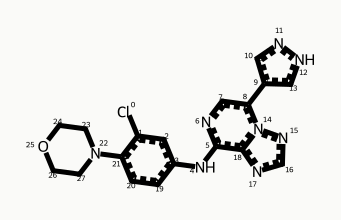 Clc1cc(Nc2ncc(-c3cn[nH]c3)n3ncnc23)ccc1N1CCOCC1